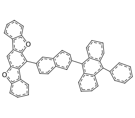 c1ccc(-c2c3ccccc3c(-c3ccc4cc(-c5c6oc7ccccc7c6cc6oc7ccccc7c56)ccc4c3)c3ccccc23)cc1